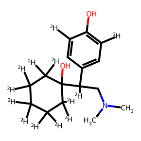 [2H]c1cc(C([2H])(CN(C)C)C2(O)C([2H])([2H])C([2H])([2H])C([2H])([2H])C([2H])([2H])C2([2H])[2H])cc([2H])c1O